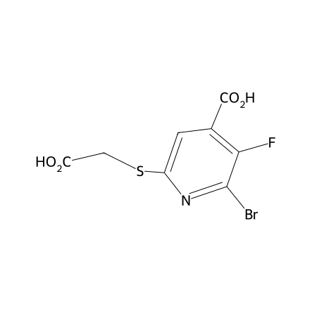 O=C(O)CSc1cc(C(=O)O)c(F)c(Br)n1